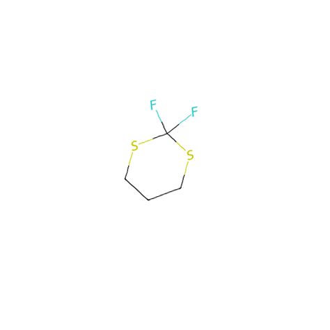 FC1(F)SCCCS1